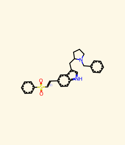 O=S(=O)(/C=C/c1ccc2[nH]cc(CC3CCCN3Cc3ccccc3)c2c1)c1ccccc1